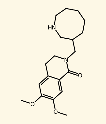 COc1cc2c(cc1OC)C(=O)N(CC1CCCCCNC1)CC2